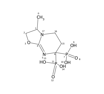 CC1COC2=NC(P(=O)(O)O)(P(=O)(O)O)CCN21